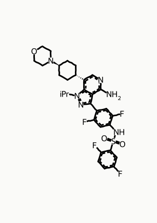 CC(C)n1nc(-c2cc(F)c(NS(=O)(=O)c3cc(F)ccc3F)cc2F)c2c(N)ncc([C@H]3CC[C@H](N4CCOCC4)CC3)c21